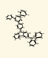 c1ccc(-c2nc(-c3ccc(-n4c5ccccc5c5cc(-n6c7ccccc7c7ccccc76)ccc54)cc3)nc(-c3cccnc3)n2)cc1